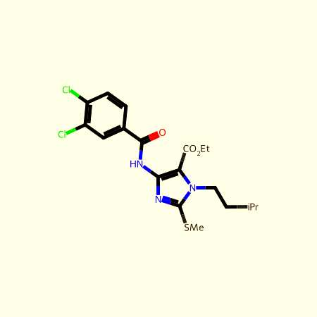 CCOC(=O)c1c(NC(=O)c2ccc(Cl)c(Cl)c2)nc(SC)n1CCC(C)C